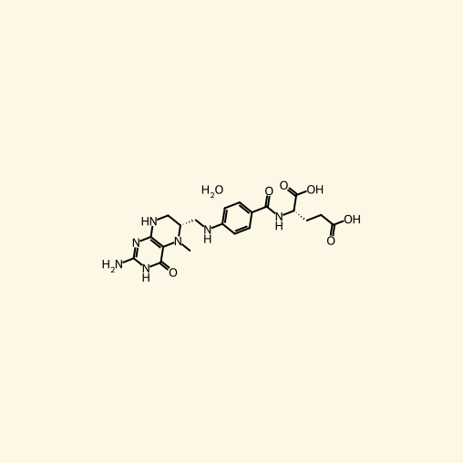 CN1c2c(nc(N)[nH]c2=O)NC[C@@H]1CNc1ccc(C(=O)N[C@@H](CCC(=O)O)C(=O)O)cc1.O